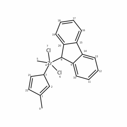 CC1=C[CH]([Zr]([CH3])([Cl])([Cl])[CH]2c3ccccc3-c3ccccc32)C=C1